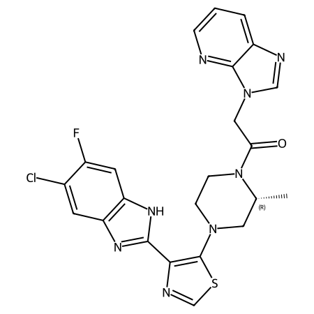 C[C@@H]1CN(c2scnc2-c2nc3cc(Cl)c(F)cc3[nH]2)CCN1C(=O)Cn1cnc2cccnc21